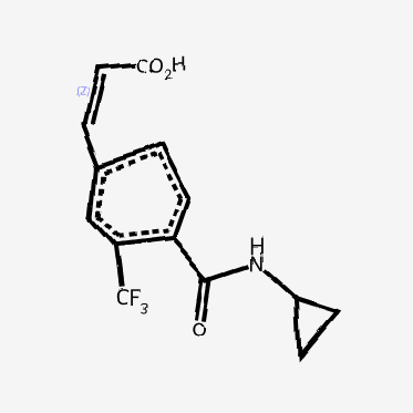 O=C(O)/C=C\c1ccc(C(=O)NC2CC2)c(C(F)(F)F)c1